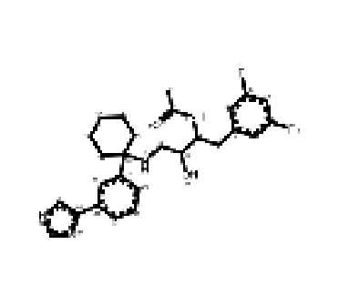 CC(=O)NC(Cc1cc(F)cc(F)c1)C(O)CNC1(c2cccc(-c3cncs3)c2)CCCCC1